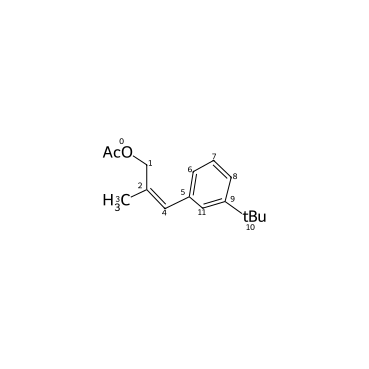 CC(=O)OCC(C)=Cc1cccc(C(C)(C)C)c1